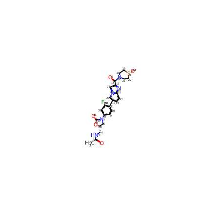 CC(=O)NC[C@H]1CN(c2ccc(-c3ccc4nc(C(=O)N5CC[S+]([O-])CC5)cn4c3)c(F)c2)C(=O)O1